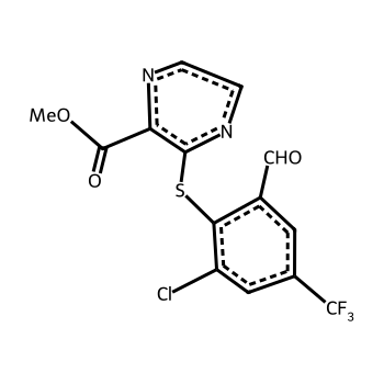 COC(=O)c1nccnc1Sc1c(Cl)cc(C(F)(F)F)cc1C=O